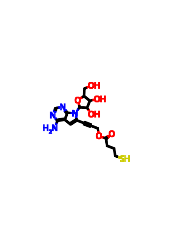 Nc1ncnc2c1cc(C#CCOC(=O)CCCS)n2C1OC(CO)C(O)C1O